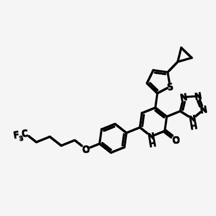 O=c1[nH]c(-c2ccc(OCCCCC(F)(F)F)cc2)cc(-c2ccc(C3CC3)s2)c1-c1nnn[nH]1